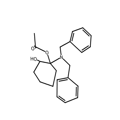 CC(=O)OC1(N(Cc2ccccc2)Cc2ccccc2)CCCCC1O